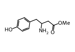 COC(=O)CC(N)Cc1ccc(O)cc1